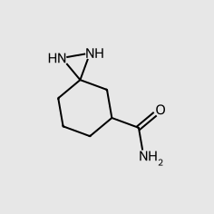 NC(=O)C1CCCC2(C1)NN2